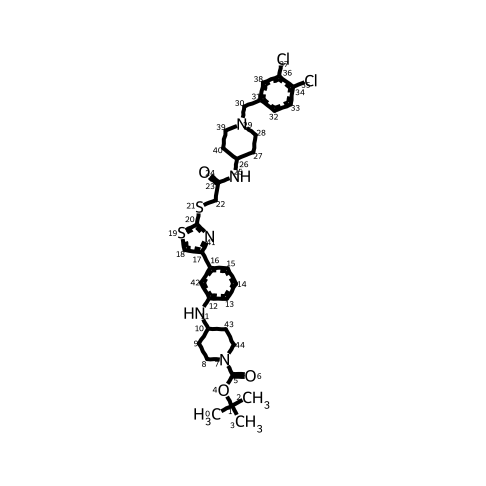 CC(C)(C)OC(=O)N1CCC(Nc2cccc(-c3csc(SCC(=O)NC4CCN(Cc5ccc(Cl)c(Cl)c5)CC4)n3)c2)CC1